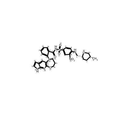 C[C@@H]1CC[C@H](CNc2ccc(S(=O)(=O)NC(=O)c3ccccc3N3CCCOc4nc5[nH]ccc5cc43)cc2[N+](=O)[O-])OC1